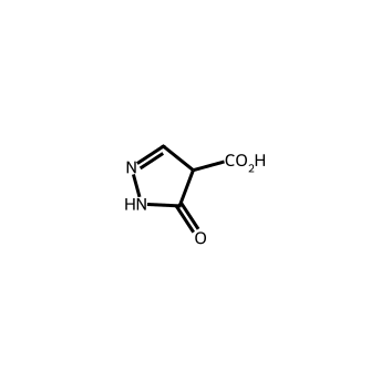 O=C(O)C1C=NNC1=O